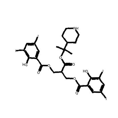 CC(C)(OC(=O)C(COC(=O)c1cc(I)cc(I)c1O)COC(=O)c1cc(I)cc(I)c1O)C1CCNCC1